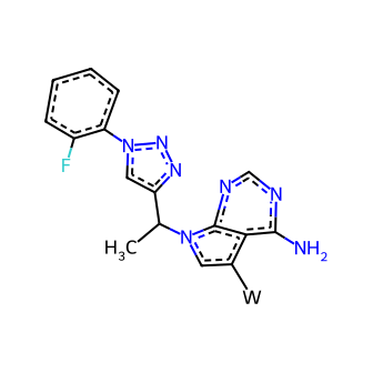 CC(c1cn(-c2ccccc2F)nn1)n1c[c]([W])c2c(N)ncnc21